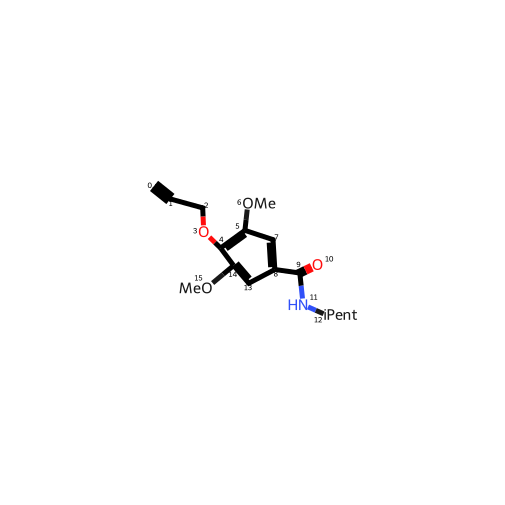 C#CCOc1c(OC)cc(C(=O)NC(C)CCC)cc1OC